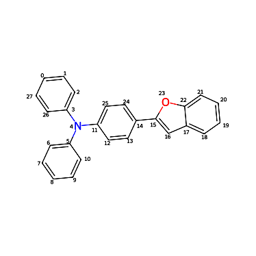 c1ccc(N(c2ccccc2)c2ccc(-c3cc4ccccc4o3)cc2)cc1